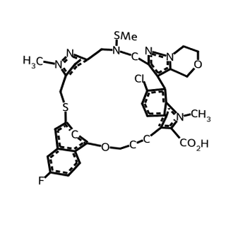 CSN1Cc2cc(n(C)n2)CSc2cc(c3ccc(F)cc3c2)OCCCc2c(C(=O)O)n(C)c3c(c(Cl)ccc23)-c2c(nn3c2COCC3)C1